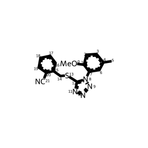 COc1ccc(C)cc1-n1nnnc1SCc1ccccc1C#N